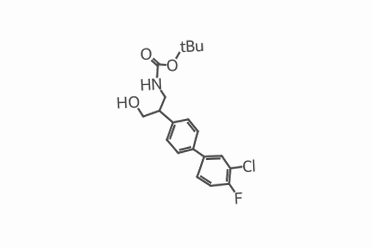 CC(C)(C)OC(=O)NCC(CO)c1ccc(-c2ccc(F)c(Cl)c2)cc1